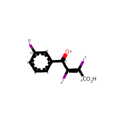 O=C(O)C(I)=C(I)C(=O)c1cccc(I)c1